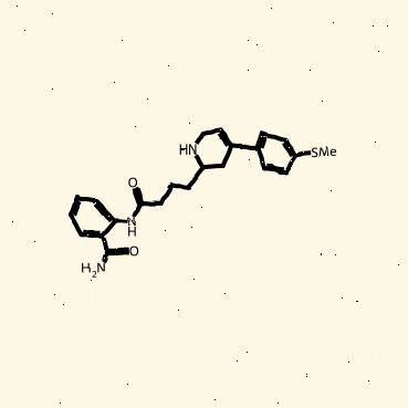 CSc1ccc(C2=CCNC(CCCC(=O)Nc3ccccc3C(N)=O)C2)cc1